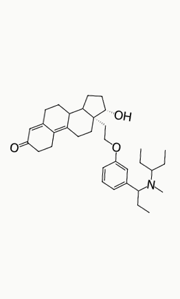 CCC(CC)N(C)C(CC)c1cccc(OCC[C@]23CCC4=C5CCC(=O)C=C5CCC4C2CC[C@@H]3O)c1